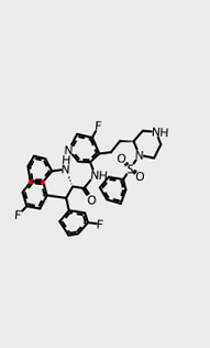 O=C(Nc1cncc(F)c1CC[C@H]1CNCCN1S(=O)(=O)c1ccccc1)[C@@H](Nc1ccccc1)C(c1cccc(F)c1)c1cccc(F)c1